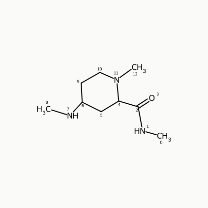 CNC(=O)C1CC(NC)CCN1C